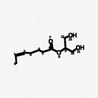 C/C=C\CCCC(=O)OC(CO)CO